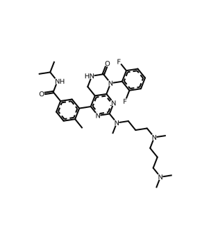 Cc1ccc(C(=O)NC(C)C)cc1-c1nc(N(C)CCCN(C)CCCN(C)C)nc2c1CNC(=O)N2c1c(F)cccc1F